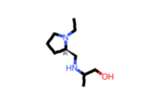 CCN1CCC[C@@H]1CNC(C)CO